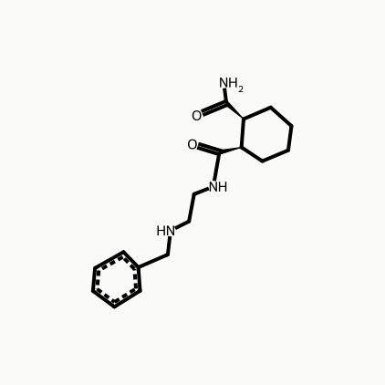 NC(=O)[C@H]1CCCC[C@H]1C(=O)NCCNCc1ccccc1